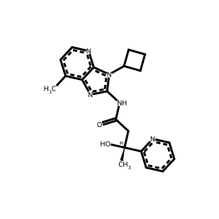 Cc1ccnc2c1nc(NC(=O)C[C@@](C)(O)c1ccccn1)n2C1CCC1